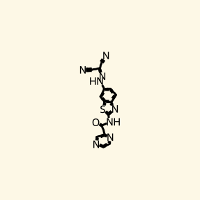 N#CC(C#N)=NNc1ccc2nc(NC(=O)c3cnccn3)sc2c1